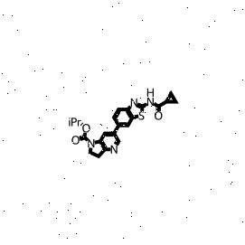 CC(C)OC(=O)N1CCc2ncc(-c3ccc4nc(NC(=O)C5CC5)sc4c3)cc21